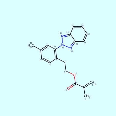 C=C(C)C(=O)OCCc1ccc(C)cc1-n1nc2ccccc2n1